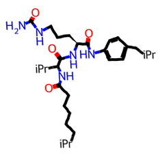 CC(C)CCCCCC(=O)NC(C(=O)N[C@@H](CCCNC(N)=O)C(=O)Nc1ccc(CC(C)C)cc1)C(C)C